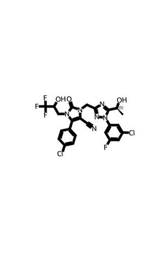 C[C@H](O)c1nc(Cn2c(C#N)c(-c3ccc(Cl)cc3)n(CC(O)C(F)(F)F)c2=O)nn1-c1cc(F)cc(Cl)c1